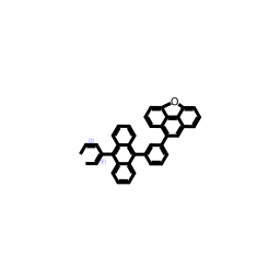 C/C=C\C(=C/C)c1c2ccccc2c(-c2cccc(-c3cc4cccc5oc6cccc3c6c45)c2)c2ccccc12